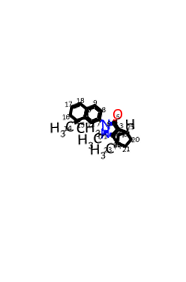 Cn1c2c(c(=O)n1-c1ccc3c(c1)C(C)(C)CC=C3)[C@H]1CC[C@]2(C)C1